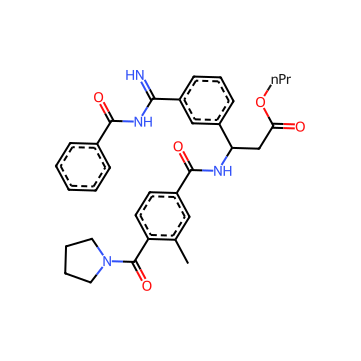 CCCOC(=O)CC(NC(=O)c1ccc(C(=O)N2CCCC2)c(C)c1)c1cccc(C(=N)NC(=O)c2ccccc2)c1